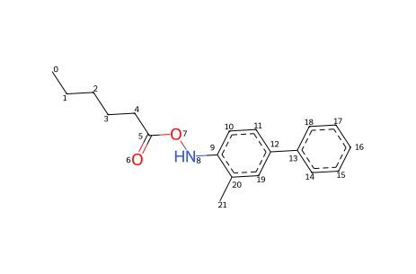 CCCCCC(=O)ONc1ccc(-c2ccccc2)cc1C